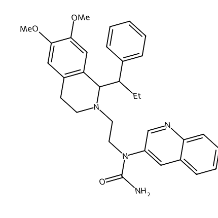 CCC(c1ccccc1)C1c2cc(OC)c(OC)cc2CCN1CCN(C(N)=O)c1cnc2ccccc2c1